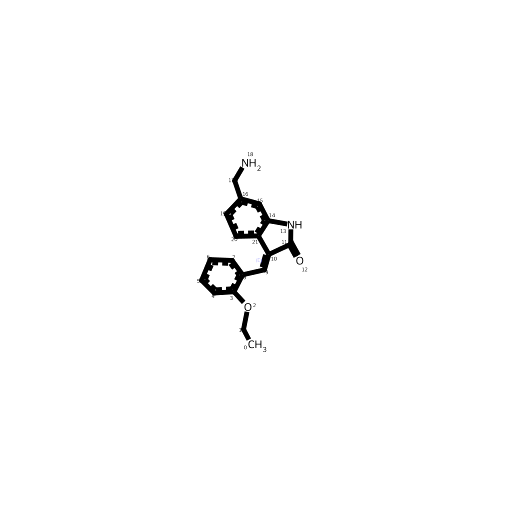 CCOc1ccccc1/C=C1/C(=O)Nc2cc(CN)ccc21